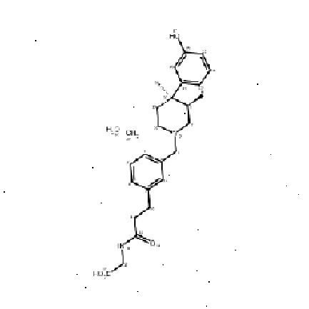 C[C@H]1CN(Cc2cccc(CCC(=O)NCC(=O)O)c2)CC[C@@]1(C)c1cccc(O)c1.O.O